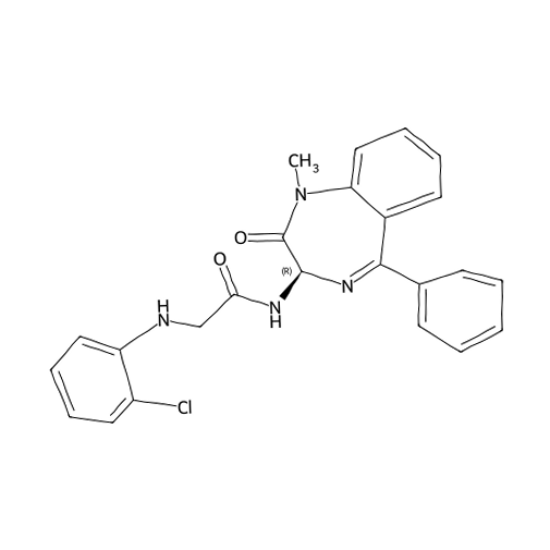 CN1C(=O)[C@H](NC(=O)CNc2ccccc2Cl)N=C(c2ccccc2)c2ccccc21